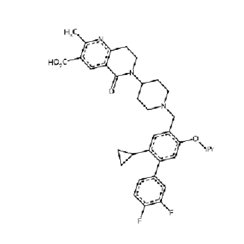 Cc1nc2c(cc1C(=O)O)C(=O)N(C1CCN(Cc3cc(C4CC4)c(-c4ccc(F)c(F)c4)cc3OC(C)C)CC1)CC2